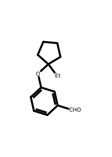 CCC1(Oc2cccc(C=O)c2)CCCC1